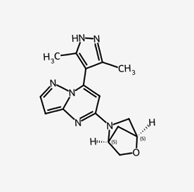 Cc1n[nH]c(C)c1-c1cc(N2C[C@@H]3C[C@H]2CO3)nc2ccnn12